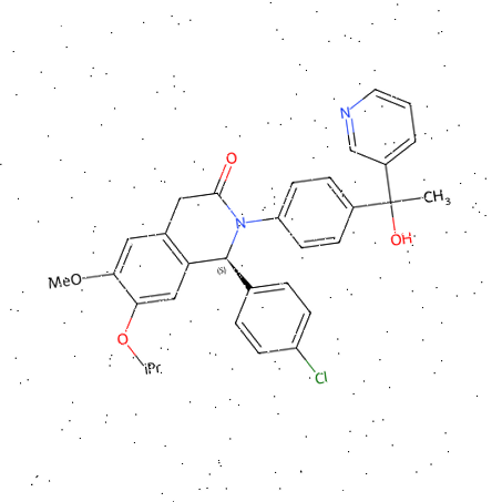 COc1cc2c(cc1OC(C)C)[C@H](c1ccc(Cl)cc1)N(c1ccc(C(C)(O)c3cccnc3)cc1)C(=O)C2